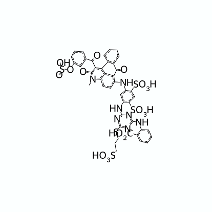 Cn1c(=O)c(C(=O)c2cccc(OS(=O)O)c2)c2c3c(c(Nc4cc(Nc5nc(Nc6ccccc6C(=O)O)nc(SCCCS(=O)(=O)O)n5)c(S(=O)(=O)O)cc4S(=O)(=O)O)ccc31)C(=O)c1ccccc1-2